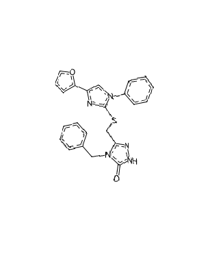 O=c1[nH]nc(CSc2nc(-c3ccco3)cn2-c2ccccc2)n1Cc1ccccc1